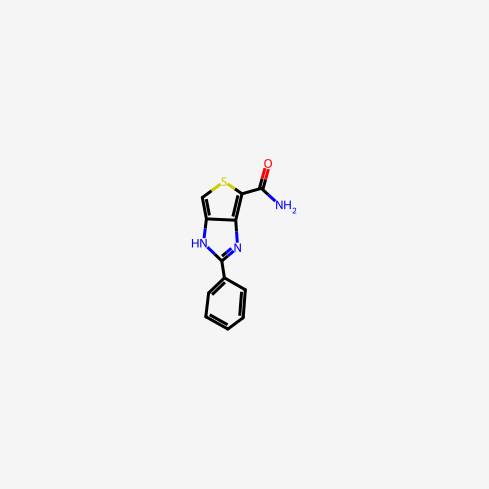 NC(=O)c1scc2[nH]c(-c3ccccc3)nc12